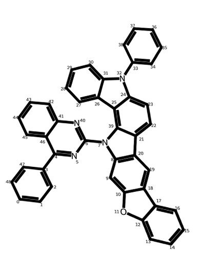 c1ccc(-c2nc(-n3c4cc5oc6ccccc6c5cc4c4ccc5c(c6ccccc6n5-c5ccccc5)c43)nc3ccccc23)cc1